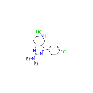 CCN(CC)c1nc2c(c(-c3ccc(Cl)cc3)n1)CNCC2.Cl